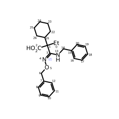 CCC(C(=O)O)(/C(=N/OCc1ccccc1)NCc1ccccc1)C1CCCCC1